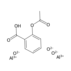 CC(=O)Oc1ccccc1C(=O)O.[Al+3].[Al+3].[O-2].[O-2].[O-2]